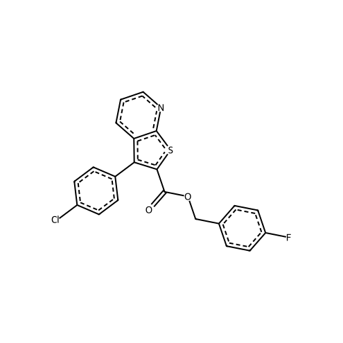 O=C(OCc1ccc(F)cc1)c1sc2ncccc2c1-c1ccc(Cl)cc1